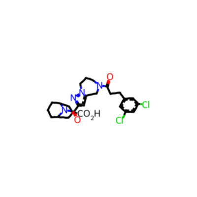 O=C(O)C1CC2CCCC(C1)N2C(=O)c1cc2n(n1)CCCN(C(=O)CCc1cc(Cl)cc(Cl)c1)C2